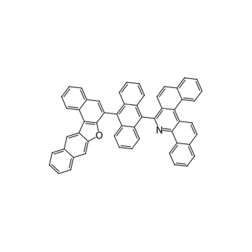 c1ccc2cc3c(cc2c1)oc1c(-c2c4ccccc4c(-c4nc5c6ccccc6ccc5c5c4ccc4ccccc45)c4ccccc24)cc2ccccc2c13